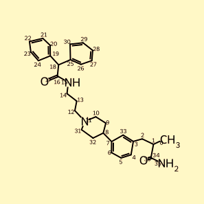 CC(Cc1cccc(C2CCN(CCCNC(=O)C(c3ccccc3)c3ccccc3)CC2)c1)C(N)=O